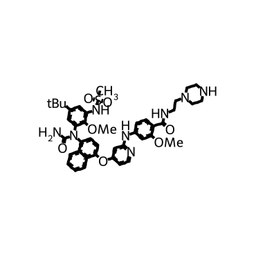 COc1cc(Nc2cc(Oc3ccc(N(C(N)=O)c4cc(C(C)(C)C)cc(NS(C)(=O)=O)c4OC)c4ccccc34)ccn2)ccc1C(=O)NCCN1CCNCC1